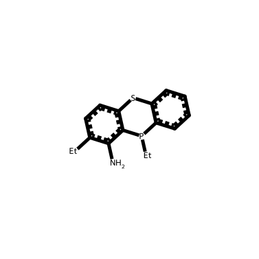 CCc1ccc2c(c1N)P(CC)c1ccccc1S2